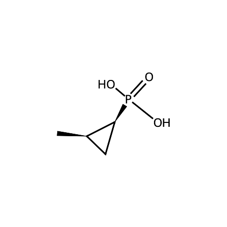 C[C@@H]1C[C@@H]1P(=O)(O)O